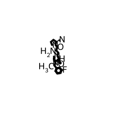 C[C@H](c1cccc(F)c1)N1C(=O)[C@@H]2CC1CN2C[C@H](N)C(=O)N1CCC[C@H]1C#N